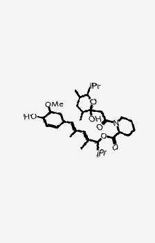 COC1CC(/C=C(C)/C=C(\C)C(OC(=O)C2CCCCN2C(=O)CC2(O)OC(C(C)C)C(C)CC2C)C(C)C)C=CC1O